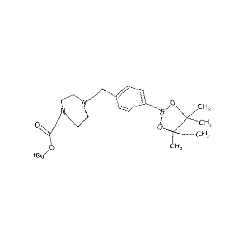 CC(C)(C)OC(=O)N1CCN(Cc2ccc(B3OC(C)(C)C(C)(C)O3)cc2)CC1